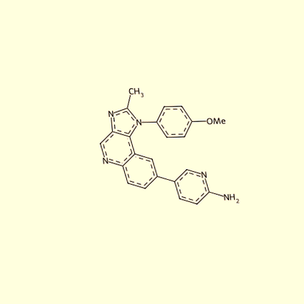 COc1ccc(-n2c(C)nc3cnc4ccc(-c5ccc(N)nc5)cc4c32)cc1